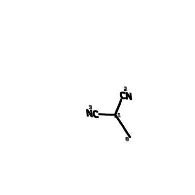 C[C](C#N)C#N